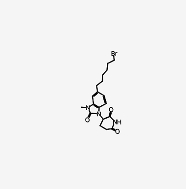 Cn1c(=O)n(C2CCC(=O)NC2=O)c2ccc(CCCCCCBr)cc21